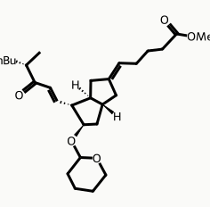 CCCC[C@H](C)C(=O)C=C[C@@H]1[C@H]2CC(=CCCCC(=O)OC)C[C@@H]2C[C@H]1OC1CCCCO1